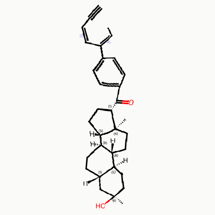 C#C/C=C\C(=C/C)c1ccc(C(=O)[C@H]2CC[C@H]3[C@@H]4CC[C@H]5C[C@](C)(O)CC[C@@H]5[C@H]4CC[C@]23C)cc1